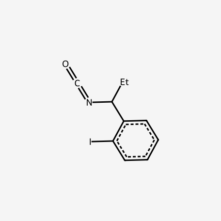 CCC(N=C=O)c1ccccc1I